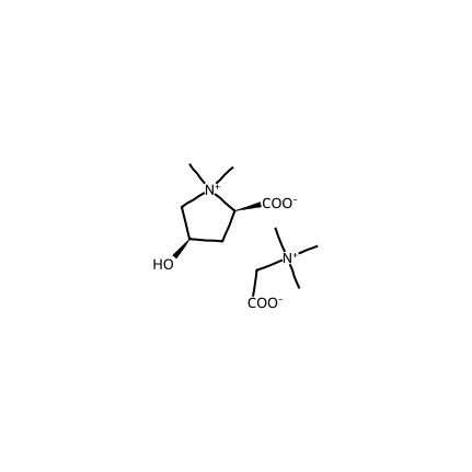 C[N+](C)(C)CC(=O)[O-].C[N+]1(C)C[C@H](O)C[C@@H]1C(=O)[O-]